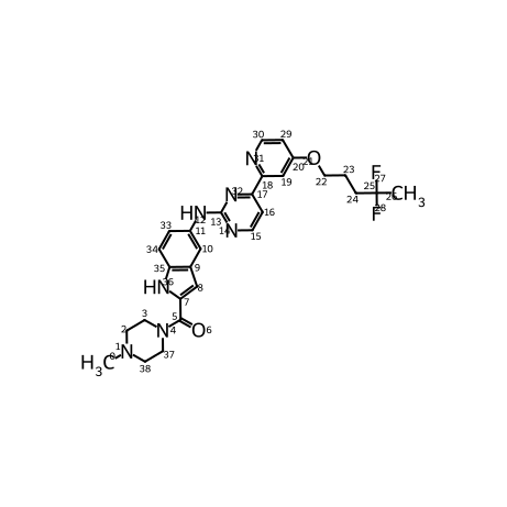 CN1CCN(C(=O)c2cc3cc(Nc4nccc(-c5cc(OCCCC(C)(F)F)ccn5)n4)ccc3[nH]2)CC1